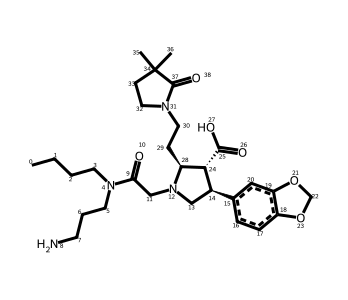 CCCCN(CCCN)C(=O)CN1C[C@H](c2ccc3c(c2)OCO3)[C@@H](C(=O)O)[C@@H]1CCN1CCC(C)(C)C1=O